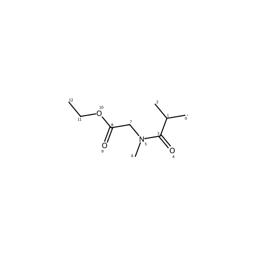 [CH2]C(C)C(=O)N(C)CC(=O)OCC